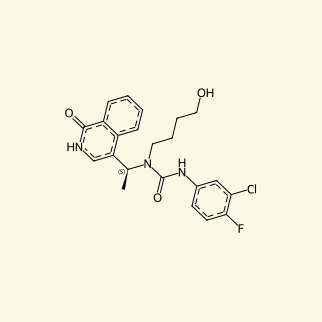 C[C@@H](c1c[nH]c(=O)c2ccccc12)N(CCCCO)C(=O)Nc1ccc(F)c(Cl)c1